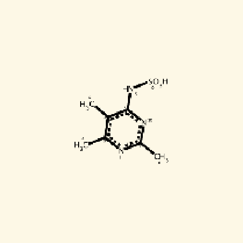 Cc1nc(C)c(C)c(NS(=O)(=O)O)n1